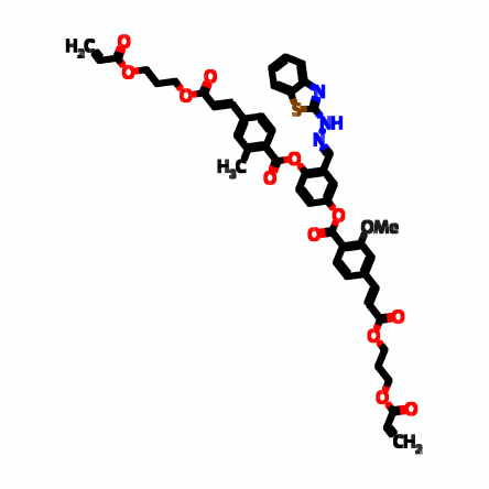 C=CC(=O)OCCCOC(=O)/C=C/c1ccc(C(=O)Oc2ccc(OC(=O)c3ccc(/C=C/C(=O)OCCCOC(=O)C=C)cc3OC)cc2/C=N/Nc2nc3ccccc3s2)c(C)c1